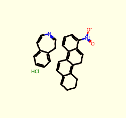 C1=Cc2ccccc2CC=N1.Cl.O=[N+]([O-])c1cccc2c1=CCc1c3c(ccc1=2)=CCCC3